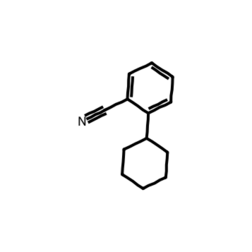 N#Cc1ccccc1C1CCCCC1